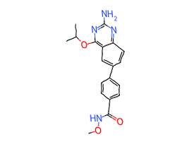 CONC(=O)c1ccc(-c2ccc3nc(N)nc(OC(C)C)c3c2)cc1